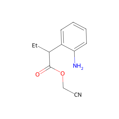 CCC(C(=O)OCC#N)c1ccccc1N